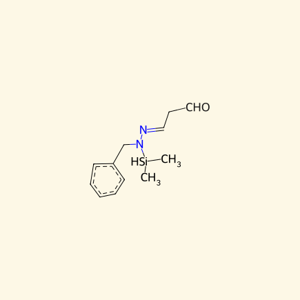 C[SiH](C)N(Cc1ccccc1)N=CCC=O